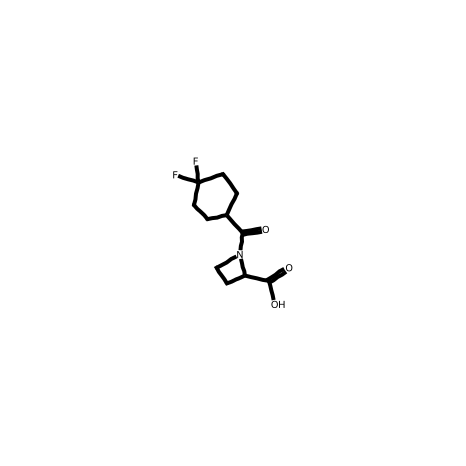 O=C(O)C1CCN1C(=O)C1CCC(F)(F)CC1